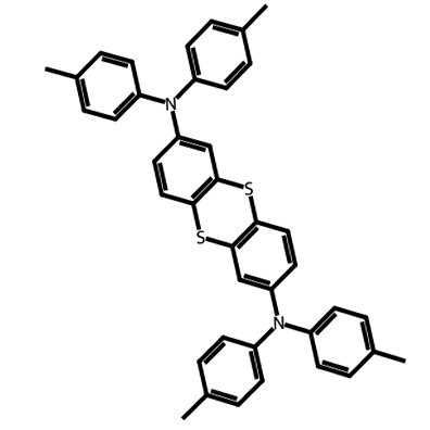 Cc1ccc(N(c2ccc(C)cc2)c2ccc3c(c2)Sc2ccc(N(c4ccc(C)cc4)c4ccc(C)cc4)cc2S3)cc1